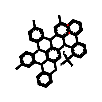 Cc1ccc2c(c1)B1c3cc(C)ccc3N3c4ccc(C)cc4B4c5ccccc5Sc5cc(c1c3c54)N2c1c(-c2ccccc2)cccc1C(F)(F)F